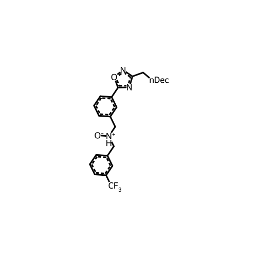 CCCCCCCCCCCc1noc(-c2cccc(C[NH+]([O-])Cc3cccc(C(F)(F)F)c3)c2)n1